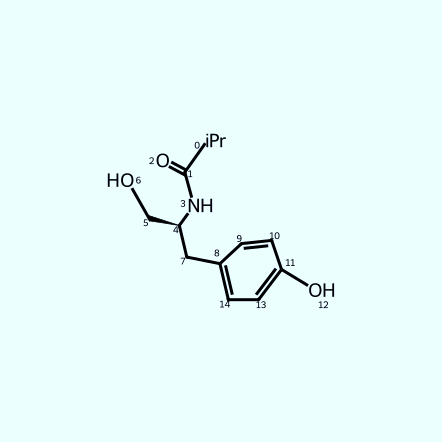 CC(C)C(=O)N[C@H](CO)Cc1ccc(O)cc1